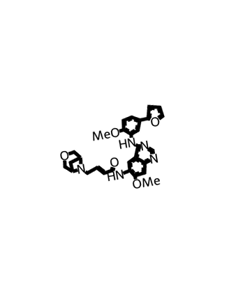 COc1cc2ncnc(Nc3cc(-c4ccco4)ccc3OC)c2cc1NC(=O)/C=C/CN1C2COCC1C2